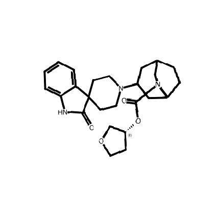 O=C(O[C@@H]1CCOC1)N1CC2CCC1CC(N1CCC3(CC1)C(=O)Nc1ccccc13)C2